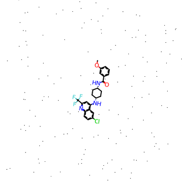 COc1cccc(C(=O)N[C@H]2CC[C@@H](Nc3cc(C(F)(F)F)nc4ccc(Cl)cc34)CC2)c1